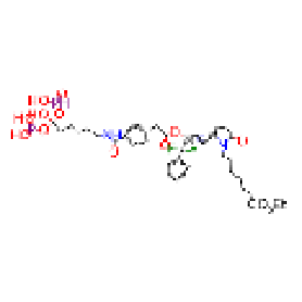 CCOC(=O)CCCCCCN1C(=O)CC[C@@H]1/C=C/[C@@H](OC(=O)Cc1ccc(C(=O)NCCCCCC(O)(OP(O)O)O[PH](=O)O)cc1)C(F)(F)c1ccccc1